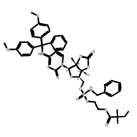 CCC(C)(C)C(=O)SCCOP(=O)(NCc1ccccc1)OC[C@H]1O[C@@H](n2ccc(NC(c3ccccc3)(c3ccc(OC)cc3)c3ccc(OC)cc3)nc2=O)[C@]2(C)OC(=O)O[C@H]12